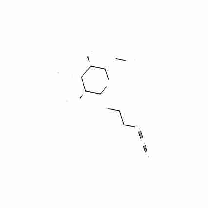 CC(=O)OC[C@@H]1O[C@H](OCCN=[N+]=[N-])[C@@H](OC(C)=O)[C@H](OC(C)=O)[C@H]1OC(C)=O